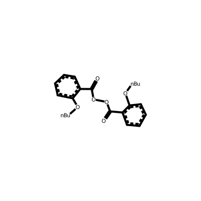 CCCCOc1ccccc1C(=O)OOC(=O)c1ccccc1OCCCC